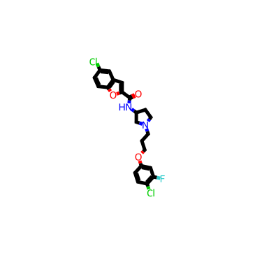 O=C(NC1CCN(CCCOc2ccc(Cl)c(F)c2)C1)c1cc2cc(Cl)ccc2o1